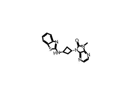 Cn1c(=O)n([C@H]2C[C@H](Nc3nc4ccccc4s3)C2)c2nccnc21